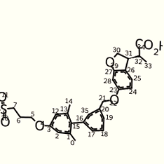 Cc1cc(OCCCS(C)(=O)=O)cc(C)c1-c1cccc(COc2ccc3c(c2)OC[C@H]3C(C)C(=O)O)c1